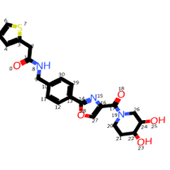 O=C(Cc1cccs1)NCc1ccc(-c2nc(C(=O)N3CCC(O)C(O)C3)co2)cc1